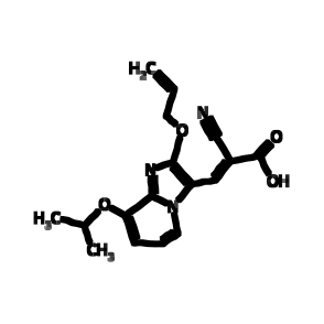 C=CCOc1nc2c(OC(C)C)cccn2c1/C=C(\C#N)C(=O)O